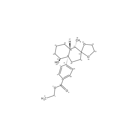 CCOC(=O)c1ccc([C@@]23CCC4(OCCO4)[C@@H](C)[C@H]2CCC[C@@H]3O)cc1